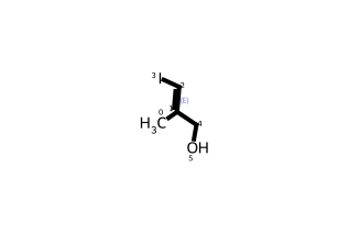 C/C(=C\I)CO